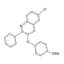 COc1ccc(Oc2cc3cc(Cl)ccc3nc2-c2ccccc2)cc1